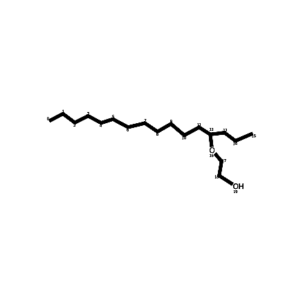 CCCCCCCCCCCCC(CCC)OCCO